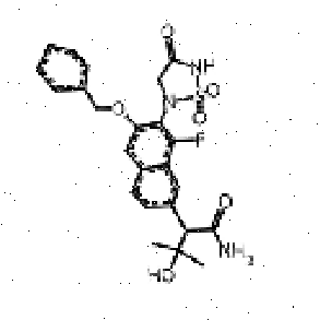 CC(C)(O)C(C(N)=O)c1ccc2cc(OCc3ccccc3)c(N3CC(=O)NS3(=O)=O)c(F)c2c1